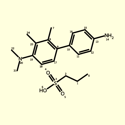 CCCS(=O)(=O)O.Cc1c(-c2ccc(N)cc2)ccc(N(C)C)c1C